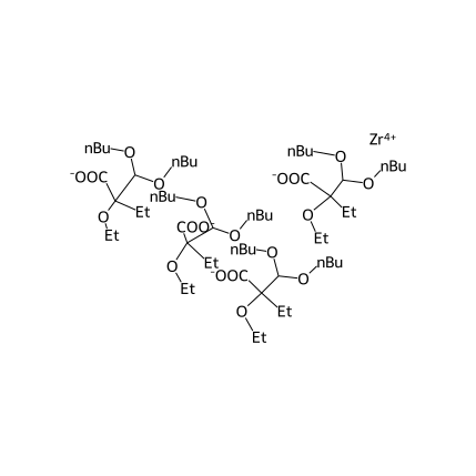 CCCCOC(OCCCC)C(CC)(OCC)C(=O)[O-].CCCCOC(OCCCC)C(CC)(OCC)C(=O)[O-].CCCCOC(OCCCC)C(CC)(OCC)C(=O)[O-].CCCCOC(OCCCC)C(CC)(OCC)C(=O)[O-].[Zr+4]